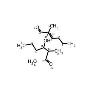 CCC/C=C(\C)C=O.CCCC(O)C(C)C=O.O